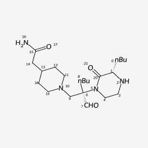 CCCC[C@@H]1NCCN([C@](C=O)(CCCC)CN2CCC(CC(N)=O)CC2)C1=O